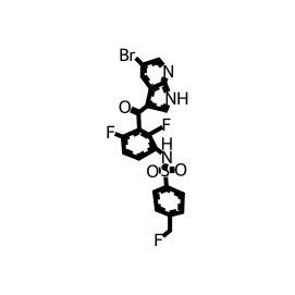 O=C(c1c(F)ccc(NS(=O)(=O)c2ccc(CF)cc2)c1F)c1c[nH]c2ncc(Br)cc12